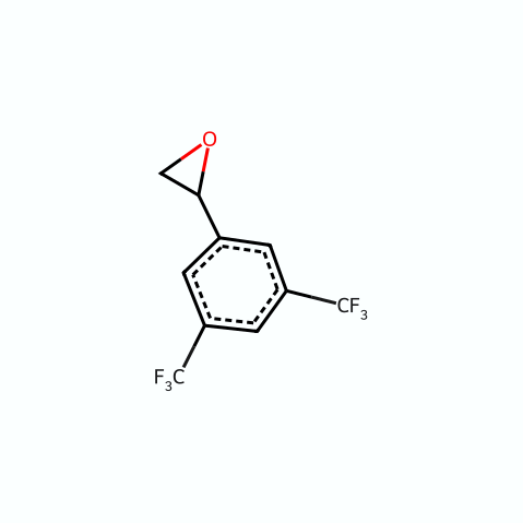 FC(F)(F)c1cc(C2CO2)cc(C(F)(F)F)c1